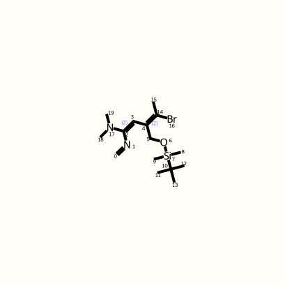 C=N/C(=C\C(CO[Si](C)(C)C(C)(C)C)=C(/C)Br)N(C)C